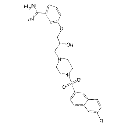 N=C(N)c1cccc(OCC(O)CN2CCN(S(=O)(=O)c3ccc4cc(Cl)ccc4c3)CC2)c1